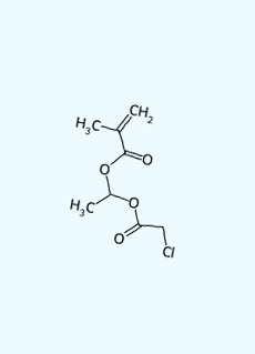 C=C(C)C(=O)OC(C)OC(=O)CCl